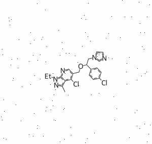 CCn1nc(C)c2c(Cl)c(COC(Cn3ccnc3)c3ccc(Cl)cc3)cnc21